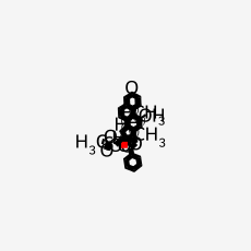 C[C@]12C=CC(=O)C=C1CC[C@H]1[C@@H]3C[C@@H]4OC(C5CCCCC5)O[C@@]4(C(=O)COS(C)(=O)=O)[C@@]3(C)C[C@H](O)[C@@]12F